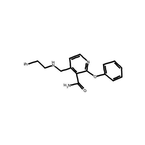 CC(C)CCNCc1ccnc(Oc2ccccc2)c1C(N)=O